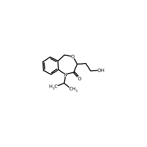 CC(C)N1C(=O)C(CCO)OCc2ccccc21